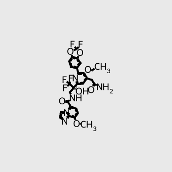 CCOc1c(CC(N)=O)cc([C@@](O)(CNC(=O)c2ccc(OC)c3nccn23)C(F)(F)F)nc1-c1ccc2c(c1)OC(F)(F)O2